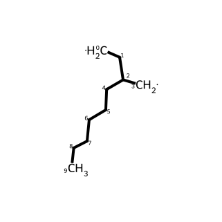 [CH2]CC([CH2])CCCCCC